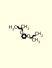 C=CCC(C)COc1cccc(OC[C@H](C)CC=C)c1